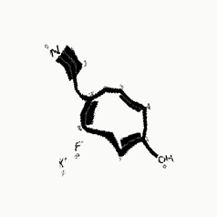 N#Cc1ccc(O)cc1.[F-].[K+]